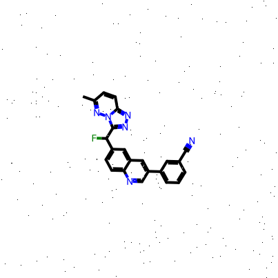 Cc1ccc2nnc(C(F)c3ccc4ncc(-c5cccc(C#N)c5)cc4c3)n2n1